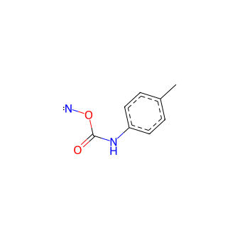 Cc1ccc(NC(=O)O[N])cc1